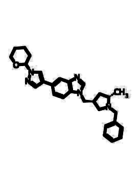 C[C@H]1C[C@H](Cn2cnc3cc(-c4cnn(C5CCCCO5)c4)ccc32)CN1Cc1ccccc1